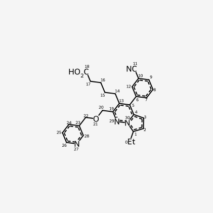 CCc1ccc2c(-c3cccc(C#N)c3)c(CCCCC(=O)O)c(COCc3cccnc3)nn12